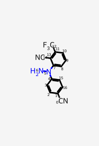 N#Cc1ccc(N(N)c2cccc(C(F)(F)F)c2C#N)cc1